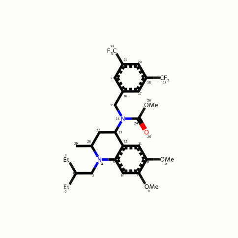 CCC(CC)CN1c2cc(OC)c(OC)cc2C(N(Cc2cc(C(F)(F)F)cc(C(F)(F)F)c2)C(=O)OC)CC1C